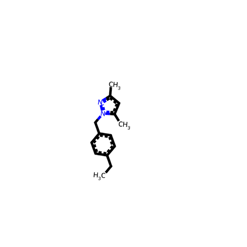 CCc1ccc(Cn2nc(C)cc2C)cc1